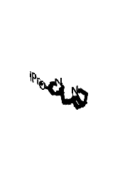 CC(C)Oc1cncc(C=C2CC3CCN2CC3)c1